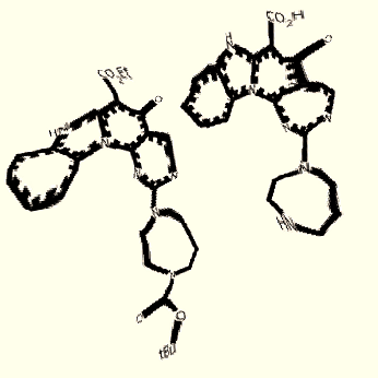 CCOC(=O)c1c(=O)c2cnc(N3CCCN(C(=O)OC(C)(C)C)CC3)nc2n2c1[nH]c1ccccc12.O=C(O)c1c(=O)c2cnc(N3CCCNCC3)nc2n2c1[nH]c1ccccc12